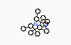 c1ccc(-c2ccc3c(c2)C(c2ccccc2)(c2ccccc2)c2cc4c5ccccc5n(-c5ccccc5)c4c4c2N3c2ccc(-c3ccccc3)cc2C4(c2ccccc2)c2ccccc2)cc1